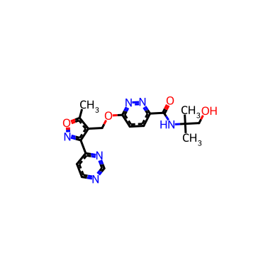 Cc1onc(-c2ccncn2)c1COc1ccc(C(=O)NC(C)(C)CO)nn1